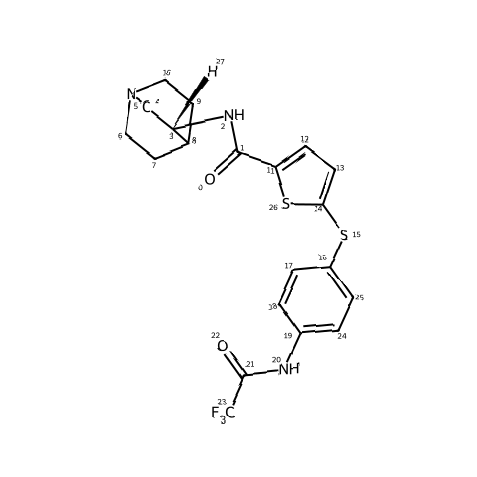 O=C(N[C@H]1CN2CCC1CC2)c1ccc(Sc2ccc(NC(=O)C(F)(F)F)cc2)s1